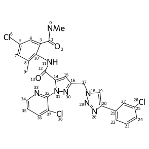 CNC(=O)c1cc(Cl)cc(C)c1NC(=O)c1cc(Cn2cc(-c3cccc(Cl)c3)nn2)nn1-c1ncccc1Cl